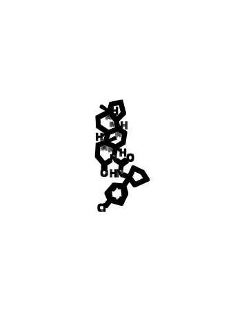 C[C@@]12CCC[C@H]1[C@@H]1CC[C@H]3N(C(=O)NC4(c5ccc(Cl)cc5)CCCC4)C(=O)CC[C@]3(C)[C@H]1CC2